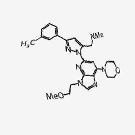 CNCc1cc(-c2cccc(C)c2)nn1-c1cc(N2CCOCC2)c2ncn(CCOC)c2n1